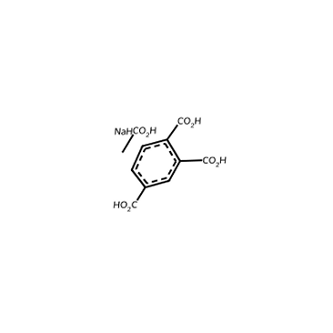 CC(=O)O.O=C(O)c1ccc(C(=O)O)c(C(=O)O)c1.[NaH]